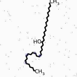 CCCCC/C=C\C/C=C\C/C=C\C/C=C\CCCCC(O)CCCCCCCCCCCCCCCCC